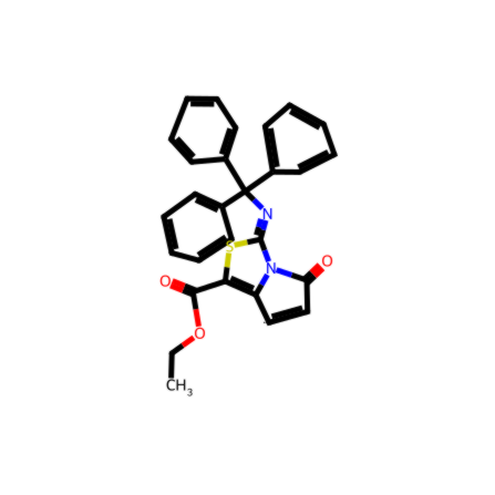 CCOC(=O)c1sc(=NC(c2ccccc2)(c2ccccc2)c2ccccc2)n2c1[C]=CC2=O